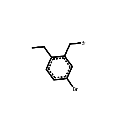 BrCc1cc(Br)ccc1CI